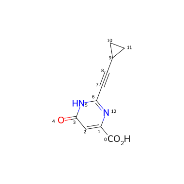 O=C(O)c1cc(=O)[nH]c(C#CC2CC2)n1